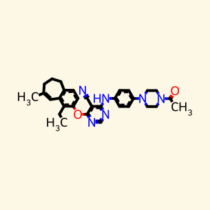 CCc1c(Oc2ncnc(Nc3ccc(N4CCN(C(C)=O)CC4)cc3)c2C#N)ccc2c1C=C(C)CCC2